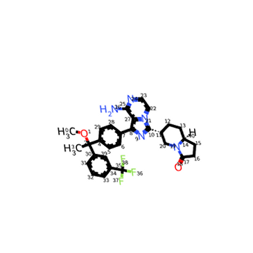 COC(C)(c1ccc(-c2nc([C@@H]3CC[C@H]4CCC(=O)N4C3)n3ccnc(N)c23)cc1)c1cccc(C(F)(F)F)c1